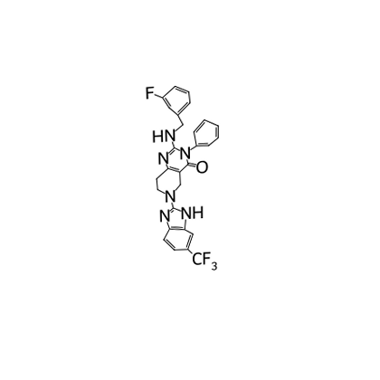 O=c1c2c(nc(NCc3cccc(F)c3)n1-c1ccccc1)CCN(c1nc3ccc(C(F)(F)F)cc3[nH]1)C2